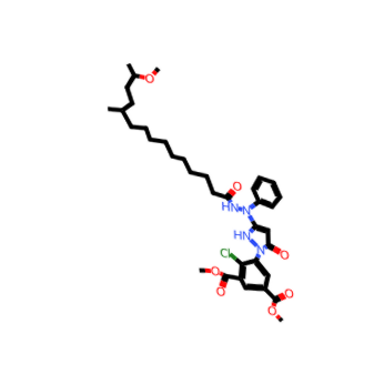 COC(=O)c1cc(C(=O)OC)c(Cl)c(-n2[nH]c(N(NC(=O)CCCCCCCCCC(C)CCC(C)OC)c3ccccc3)cc2=O)c1